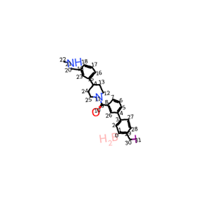 Bc1cc(-c2cccc(C(=O)N3CCC(c4cccc(CNC)c4)CC3)c2)ccc1CI